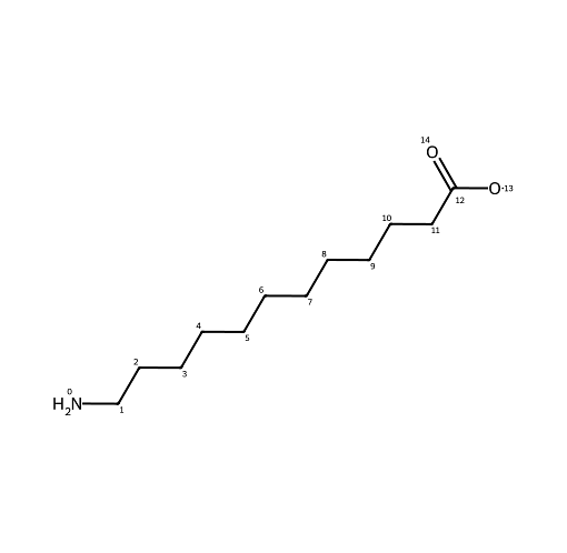 NCCCCCCCCCCCC([O])=O